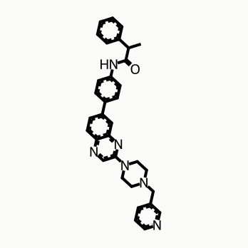 CC(C(=O)Nc1ccc(-c2ccc3ncc(N4CCN(Cc5cccnc5)CC4)nc3c2)cc1)c1ccccc1